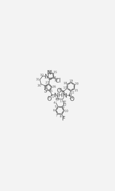 O=C(N[C@@H](Cc1ccc(F)cc1F)CN1C(=O)c2ccccc2C1=O)c1cc2c(s1)CCCn1ncc(Cl)c1-2